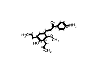 C=CCc1cc(/C=C/C(=O)c2ccc(N)cc2)c(OC)c(CC=C)c1O